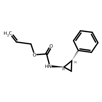 C=CCOC(=O)N[C@@H]1C[C@H]1c1ccccc1